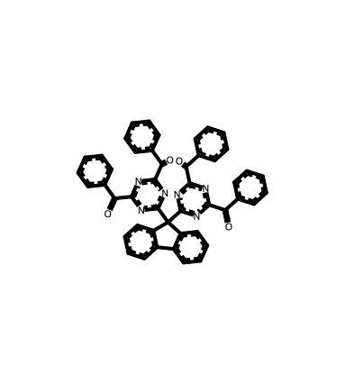 O=C(c1ccccc1)c1nc(C(=O)c2ccccc2)nc(C2(c3nc(C(=O)c4ccccc4)nc(C(=O)c4ccccc4)n3)c3ccccc3-c3ccccc32)n1